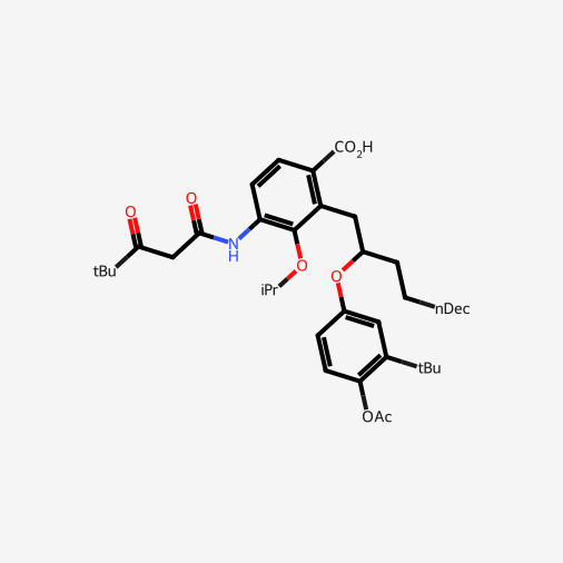 CCCCCCCCCCCCC(Cc1c(C(=O)O)ccc(NC(=O)CC(=O)C(C)(C)C)c1OC(C)C)Oc1ccc(OC(C)=O)c(C(C)(C)C)c1